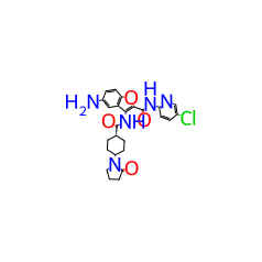 Nc1ccc2oc(C(=O)Nc3ccc(Cl)cn3)c(NC(=O)[C@H]3CC[C@H](N4CCCC4=O)CC3)c2c1